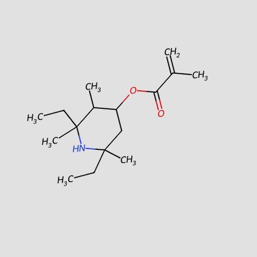 C=C(C)C(=O)OC1CC(C)(CC)NC(C)(CC)C1C